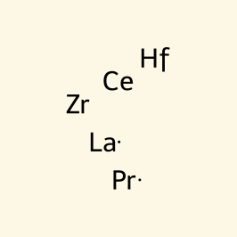 [Ce].[Hf].[La].[Pr].[Zr]